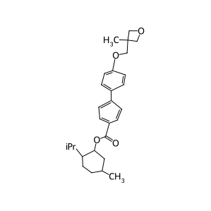 CC1CCC(C(C)C)C(OC(=O)c2ccc(-c3ccc(OCC4(C)COC4)cc3)cc2)C1